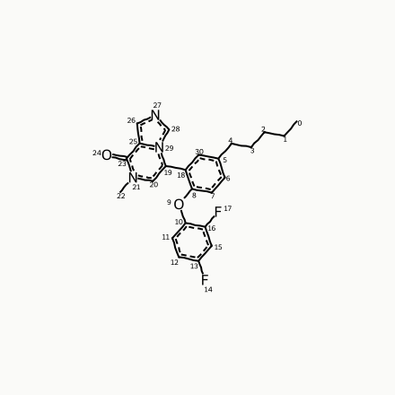 CCCCCc1ccc(Oc2ccc(F)cc2F)c(-c2cn(C)c(=O)c3cncn23)c1